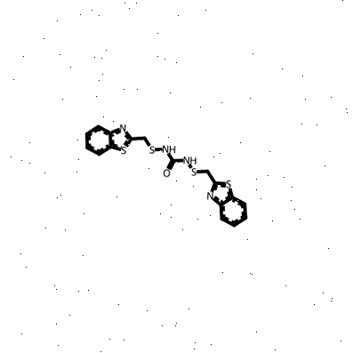 O=C(NSCc1nc2ccccc2s1)NSCc1nc2ccccc2s1